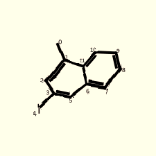 Cc1cc(I)[c]c2ccccc12